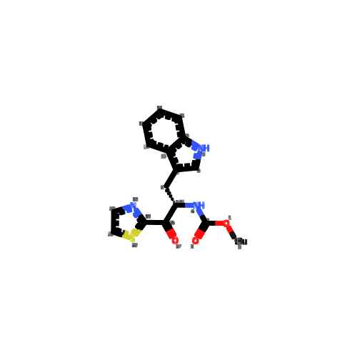 CC(C)(C)OC(=O)N[C@@H](Cc1c[nH]c2ccccc12)C(=O)c1nccs1